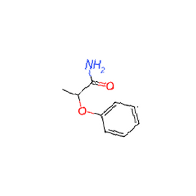 CC(Oc1c[c]ccc1)C(N)=O